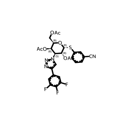 CC(=O)OC[C@H]1O[C@H](Sc2cccc(C#N)c2)[C@H](OC(C)=O)[C@@H](n2cc(-c3cc(F)c(F)c(F)c3)nn2)[C@H]1OC(C)=O